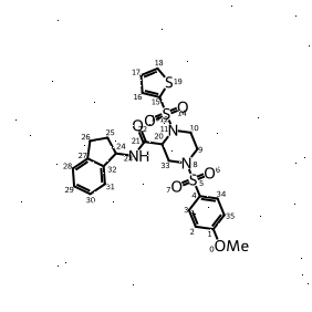 COc1ccc(S(=O)(=O)N2CCN(S(=O)(=O)c3cccs3)C(C(=O)NC3CCc4ccccc43)C2)cc1